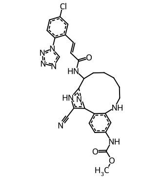 COC(=O)Nc1ccc2c(c1)NCCCCCC(NC(=O)/C=C/c1cc(Cl)ccc1-n1cnnn1)c1nc-2c(C#N)[nH]1